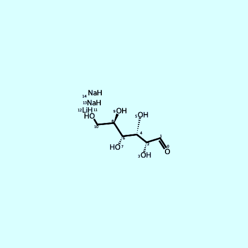 O=C[C@H](O)[C@@H](O)[C@H](O)[C@H](O)CO.[LiH].[NaH].[NaH]